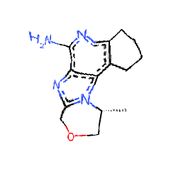 C[C@@H]1COCc2nc3c(N)nc4c(c3n21)CCCC4